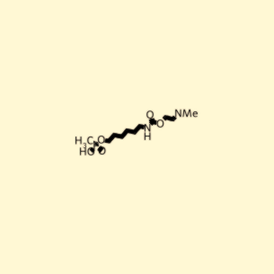 CNCCOC(=O)NCCCCCCOP(C)(=O)O